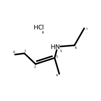 CCC=C(C)NCC.Cl